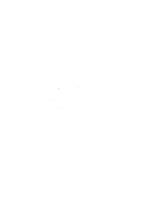 CCS(=O)(=O)c1ccn2ncc(Br)c2c1